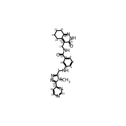 Cn1c(CNc2cccc(C(=O)NCc3c4c(n[nH]c3=O)CCCC4)c2)nnc1-c1ccncn1